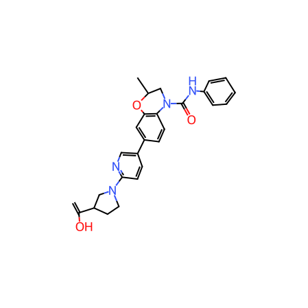 C=C(O)C1CCN(c2ccc(-c3ccc4c(c3)OC(C)CN4C(=O)Nc3ccccc3)cn2)C1